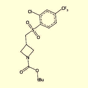 CC(C)(C)OC(=O)N1CC(CS(=O)(=O)c2ccc(C(F)(F)F)cc2Cl)C1